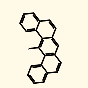 Ic1c2c(ccc3ccccc32)cc2ccc3ccccc3c12